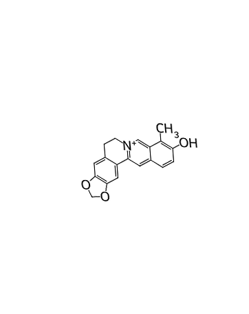 Cc1c(O)ccc2cc3[n+](cc12)CCc1cc2c(cc1-3)OCO2